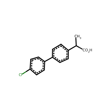 CC(C(=O)O)c1ccc(-c2ccc(Cl)cc2)cc1